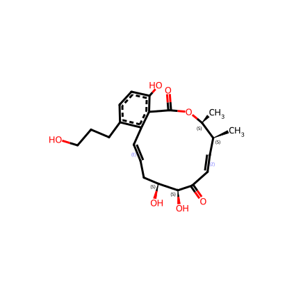 C[C@@H]1OC(=O)c2c(O)ccc(CCCO)c2/C=C/C[C@H](O)[C@H](O)C(=O)/C=C\[C@@H]1C